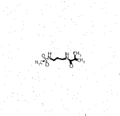 C=C(C)C(=O)NCCCNS(C)(=O)=O